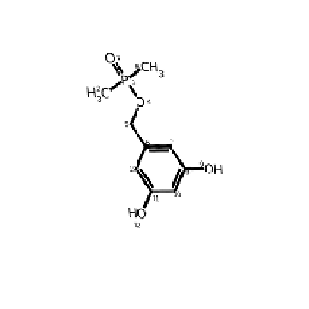 CP(C)(=O)OCc1cc(O)cc(O)c1